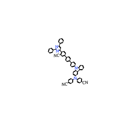 N#Cc1ccc(N(c2ccc(C#N)cc2)c2ccc3c(c2)c2ccccc2n3-c2ccc(-c3ccc(-c4ccc(-c5cc(-c6ccccc6)nc(-c6ccccc6)n5)c(C#N)c4)cc3)cc2)cc1